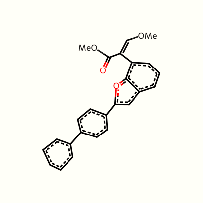 CO/C=C(/C(=O)OC)c1cccc2cc(-c3ccc(-c4ccccc4)cc3)oc12